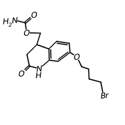 NC(=O)OCC1CC(=O)Nc2cc(OCCCCBr)ccc21